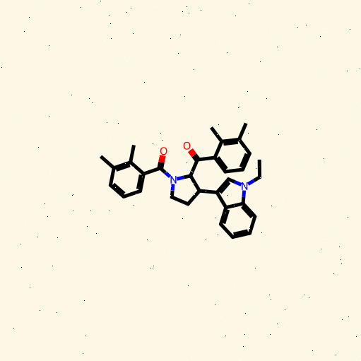 CCn1cc(C2CCN(C(=O)c3cccc(C)c3C)C2C(=O)c2cccc(C)c2C)c2ccccc21